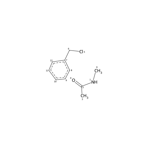 CNC(C)=O.ClCc1ccccc1